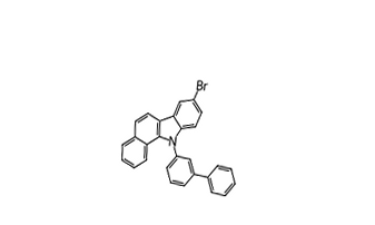 Brc1ccc2c(c1)c1ccc3ccccc3c1n2-c1cccc(-c2ccccc2)c1